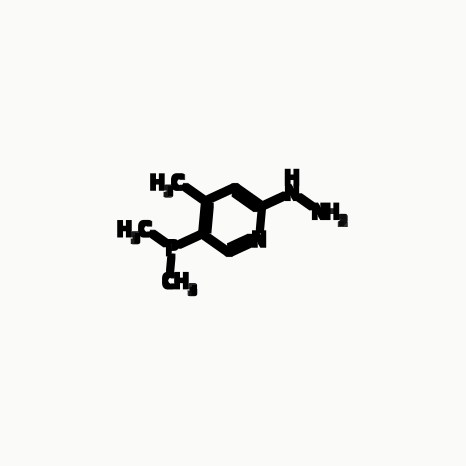 Cc1cc(NN)ncc1P(C)C